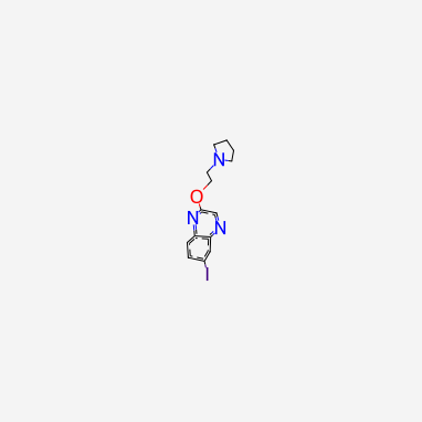 Ic1ccc2nc(OCCN3CCCC3)cnc2c1